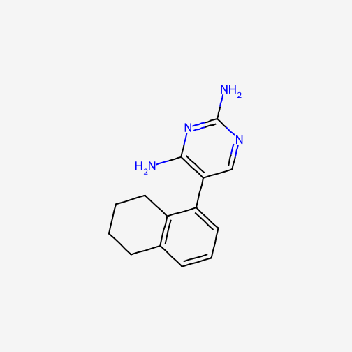 Nc1ncc(-c2cccc3c2CCCC3)c(N)n1